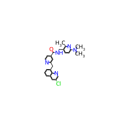 Cc1nc(N(C)C)ccc1CNC(=O)c1ccnc(Cc2cccc3cc(Cl)cnc23)c1